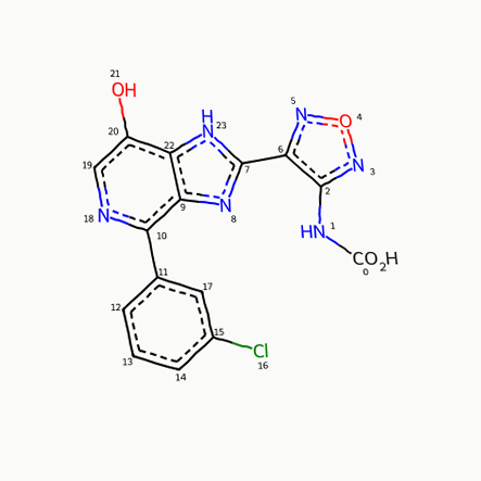 O=C(O)Nc1nonc1-c1nc2c(-c3cccc(Cl)c3)ncc(O)c2[nH]1